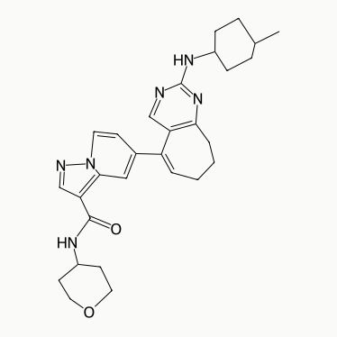 CC1CCC(Nc2ncc3c(n2)CCCC=C3c2ccn3ncc(C(=O)NC4CCOCC4)c3c2)CC1